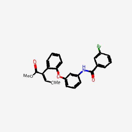 CO/C=C(/C(=O)OC)c1ccccc1Oc1cccc(NC(=O)c2cccc(Br)c2)c1